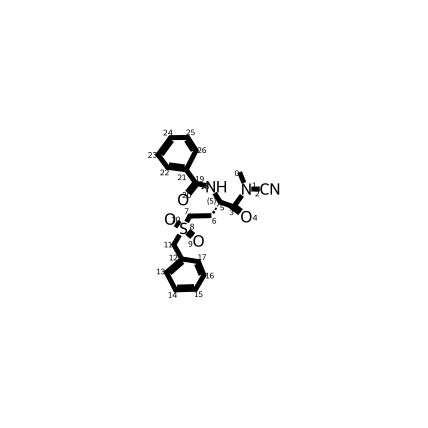 CN(C#N)C(=O)[C@H](CCS(=O)(=O)Cc1ccccc1)NC(=O)c1ccccc1